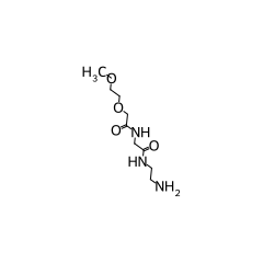 COCCOCC(=O)NCC(=O)NCCN